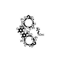 CCCCCCCCCCCC[N+](C)(C)[O-].Cc1c2oc3c(C)ccc(C(=O)N[C@@H]4C(=O)N[C@H](C(C)C)C(=O)N5CCC[C@H]5C(=O)N(C)CC(=O)N(C)[C@@H](C(C)C)C(=O)O[C@@H]4C)c3nc-2c(C(=O)N[C@@H]2C(=O)N[C@H](C(C)C)C(=O)N3CCC[C@H]3C(=O)N(C)CC(=O)N(C)[C@@H](C(C)C)C(=O)O[C@@H]2C)c(N)c1=O